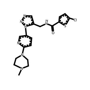 CN1CCN(c2ccc(-n3nncc3CNC(=O)c3ccc(Cl)s3)cn2)CC1